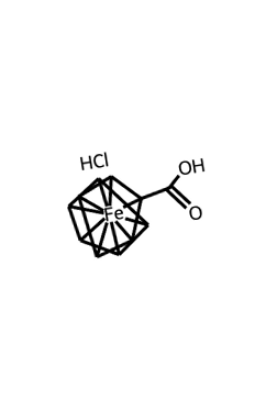 Cl.O=C(O)[C]12[CH]3[CH]4[CH]5[CH]1[Fe]45321678[CH]2[CH]1[CH]6[CH]7[CH]28